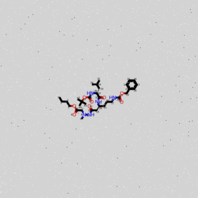 CCCCOC(=O)CN(C)NC(=O)C[C@H](CCCNC(=O)OCc1ccccc1)NC(=O)[C@@H](CC(C)C)NC(=O)OC(C)(C)C